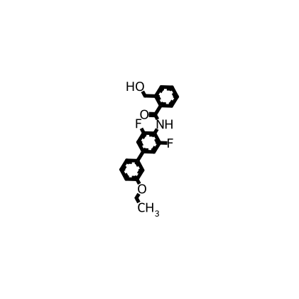 CCOc1cccc(-c2cc(F)c(NC(=O)c3ccccc3CO)c(F)c2)c1